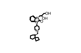 O=c1n(C[C@H](O)CO)c2ccccc2n1C1CCN(C[C@@H]2CCCCC23CCC3)CC1